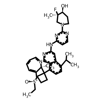 CC[S@@+]([O-])CC1=CC=CC=N[C@@]1(C)C1(c2ccc(C(C)C)c3cc(Nc4ccnc(N5CC[C@H](O)[C@](C)(F)C5)n4)ncc23)CCC1